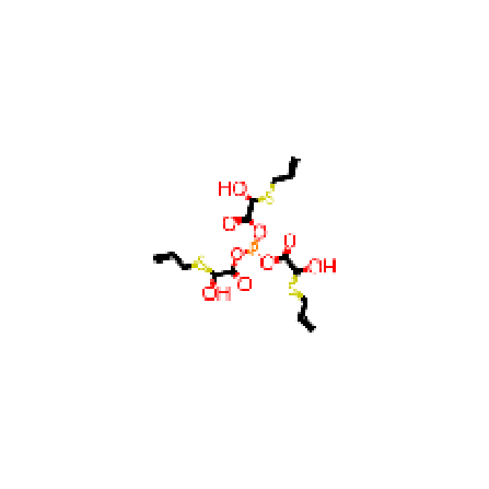 C=CCSC(O)C(=O)OP(OC(=O)C(O)SCC=C)OC(=O)C(O)SCC=C